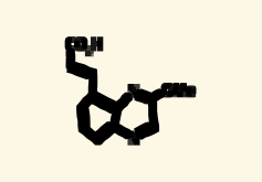 COc1cnc2cccc(C=CC(=O)O)c2n1